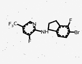 Fc1cc(C(F)(F)F)cnc1NC1CCc2c1ccc(Br)c2F